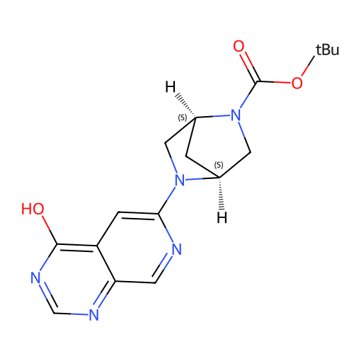 CC(C)(C)OC(=O)N1C[C@@H]2C[C@H]1CN2c1cc2c(O)ncnc2cn1